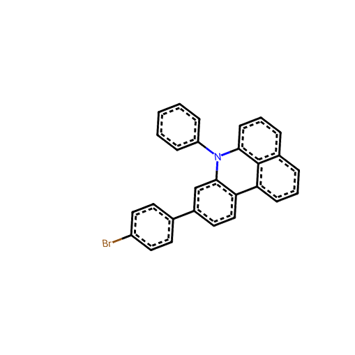 Brc1ccc(-c2ccc3c(c2)N(c2ccccc2)c2cccc4cccc-3c24)cc1